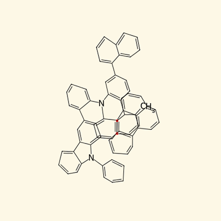 CC1C=CC=CC1c1ccc(-c2cccc3ccccc23)cc1N(c1ccccc1-c1ccc2c(c1)c1ccccc1n2-c1ccccc1)c1ccccc1-c1cccc2cccc(-c3ccccc3)c12